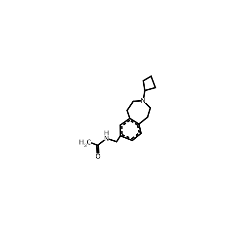 CC(=O)NCc1ccc2c(c1)CCN(C1CCC1)CC2